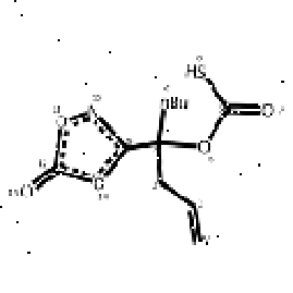 C=CCC(CCCC)(OC(=O)S)c1noc(=O)o1